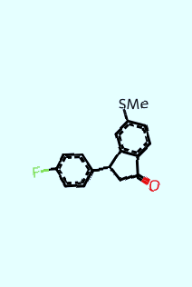 CSc1ccc2c(c1)C(c1ccc(F)cc1)CC2=O